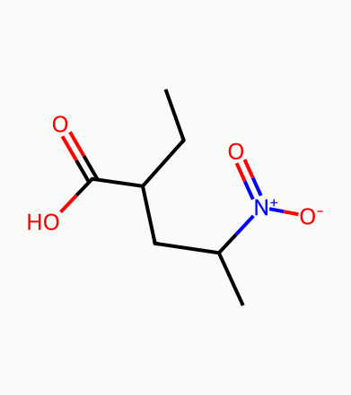 CCC(CC(C)[N+](=O)[O-])C(=O)O